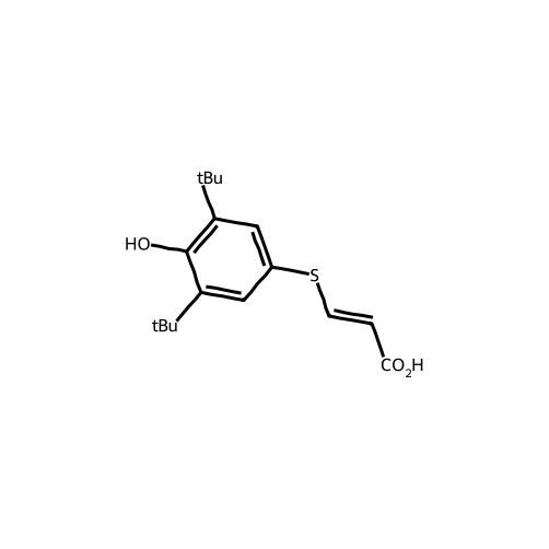 CC(C)(C)c1cc(SC=CC(=O)O)cc(C(C)(C)C)c1O